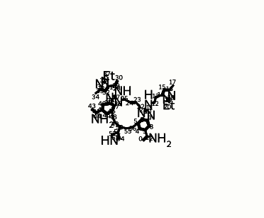 C=C(N)c1cc2c3c(c1)nc(NCCc1cc(C)nn1CC)n3C/C=C/Cn1c(NC(=C)c3cc(C)nn3CC)nc3cc(C(=C)N)cc(c31)CCC(C1CNC1)CC2